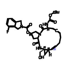 CC(C)(C)OC(=O)N[C@H]1CCCCC/C=C\[C@@H]2C[C@@]2(CO)NC(=O)C2C[C@@H](OC(=O)N3Cc4cccc(F)c4C3)CN2C1=O